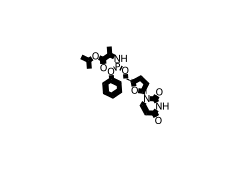 CC(C)OC(=O)C(C)NP(OC[C@@H]1CC[C@H](n2ccc(=O)[nH]c2=O)O1)Oc1ccccc1